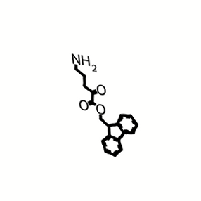 NCCCC(=O)C(=O)OCC1c2ccccc2-c2ccccc21